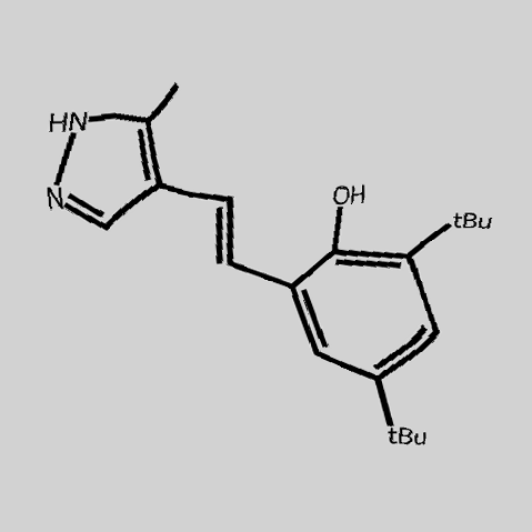 Cc1[nH]ncc1C=Cc1cc(C(C)(C)C)cc(C(C)(C)C)c1O